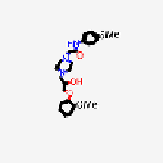 COc1ccccc1OCC(O)CN1CCN(CC(=O)Nc2ccc(SC)cc2)CC1